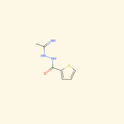 CC(=N)NNC(=O)c1cccs1